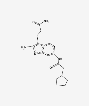 NC(=O)CCn1c(N)nc2cc(NC(=O)CC3CCCC3)ccc21